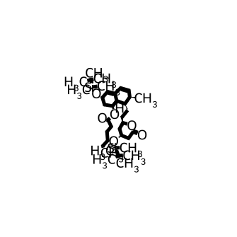 CCCCCC(=O)O[C@H]1C[C@H](O[Si](C)(C)C(C)(C)C)C=C2C=C[C@H](C)[C@H](CC[C@@H]3C[C@@H](O[Si](C)(C)C(C)(C)C)CC(=O)O3)[C@H]21